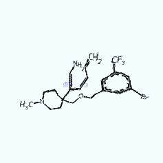 C=C/C=C\C(=C/N)C1(COCc2cc(Br)cc(C(F)(F)F)c2)CCN(C)CC1